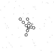 CC1(C)c2cc(-c3ccccc3)ccc2-c2c(N(c3ccc(-c4ccccc4)cc3)c3ccc(-c4ccc(-c5ccccc5)cc4)cc3)cc3ccccc3c21